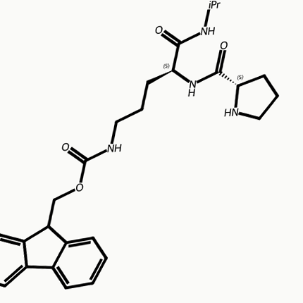 CC(C)NC(=O)[C@H](CCCNC(=O)OCC1c2ccccc2-c2ccccc21)NC(=O)[C@@H]1CCCN1